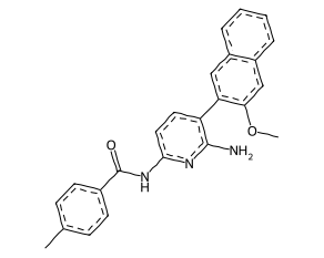 COc1cc2ccccc2cc1-c1ccc(NC(=O)c2ccc(C)cc2)nc1N